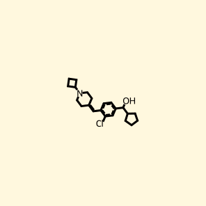 OC(c1ccc(C=C2CCN(C3CCC3)CC2)c(Cl)c1)C1CCCC1